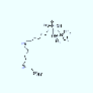 CCCCCCCCCCC/C=C\CCC/C=C\CCCCCCC(O)(C[N+](C)(C)C)P(=O)(O)O